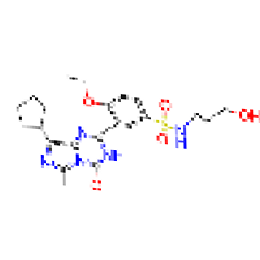 CCOc1ccc(S(=O)(=O)NCCCO)cc1-c1nc2c(C3CCCC3)nc(C)n2c(=O)[nH]1